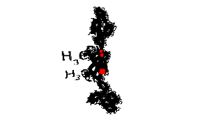 CC(C)c1cc2c(c3ccc(-c4ccc(N(c5ccccc5)c5cccc6c5sc5ccccc56)cc4)cc13)C1(c3ccccc3-c3ccccc31)c1c-2cc(C(C)C)c2cc(-c3ccc(N(c4ccccc4)c4cccc5c4sc4ccccc45)cc3)ccc12